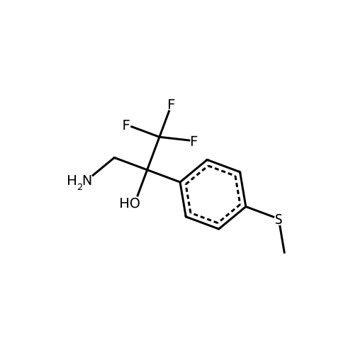 CSc1ccc(C(O)(CN)C(F)(F)F)cc1